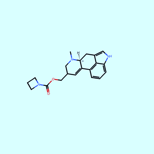 CN1CC(COC(=O)N2CCC2)C=C2c3cccc4[nH]cc(c34)C[C@@H]21